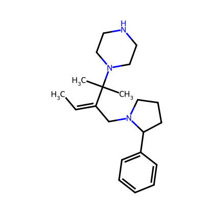 CC=C(CN1CCCC1c1ccccc1)C(C)(C)N1CCNCC1